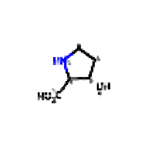 O=C(O)C1CCCN1.[LiH]